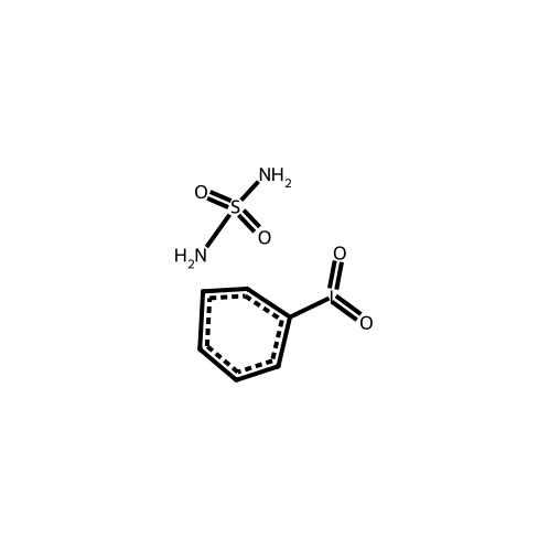 NS(N)(=O)=O.O=I(=O)c1ccccc1